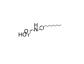 C=C(C/C=C\CNCc1ccc(CCCCCCCCC)cc1)C(=O)O